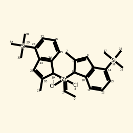 C[CH]=[Zr]([Cl])([Cl])([CH]1C(C)=Cc2c1cccc2[Si](C)(C)C)[CH]1C(C)=Cc2c1cccc2[Si](C)(C)C